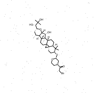 CC(C)CC(=O)N1CCO[C@@H](O[C@H]2CC[C@]34C[C@]35CC[C@]3(C)[C@@H]6[C@H](O[C@@H]([C@H](O)C(C)(C)O)C[C@H]6C)[C@H](O)[C@@]3(C)[C@@H]5CC[C@H]4C2(C)C)C1